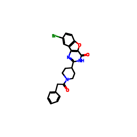 O=C(Cc1ccccc1)N1CCC(c2nc3c(oc4ccc(Br)cc43)c(=O)[nH]2)CC1